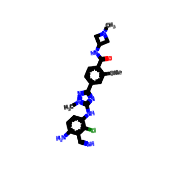 COc1cc(-c2nc(Nc3ccc(N)c(C=N)c3Cl)n(C)n2)ccc1C(=O)NC1CN(C)C1